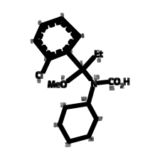 CCC(OC)(c1ccccc1Cl)N(C(=O)O)C1CCCCC1